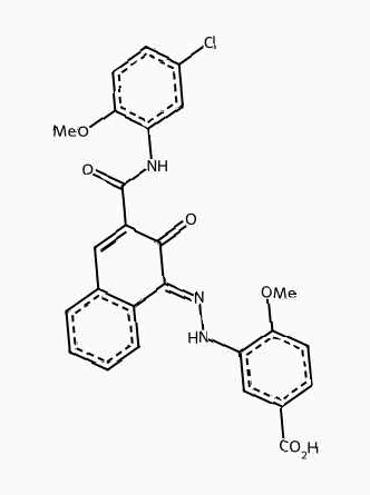 COc1ccc(C(=O)O)cc1N/N=C1/C(=O)C(C(=O)Nc2cc(Cl)ccc2OC)=Cc2ccccc21